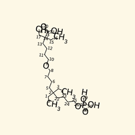 CCC(CC)(CCCCOCCCCC(CC)(CC)C(=O)O)CCCCOP(=O)(O)O